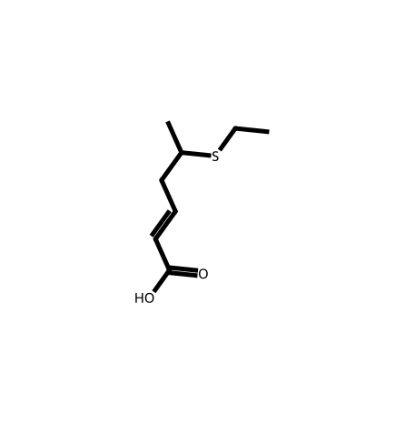 CCSC(C)C/C=C/C(=O)O